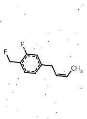 C/C=C\Cc1ccc(CF)c(F)c1